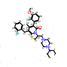 CCC(CC)N1CCN(CC2CSc3c(Cc4ccccc4F)c(C)c(-c4cccc(OC)c4F)c(=O)n32)CC1